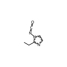 CCc1nccn1N=C=O